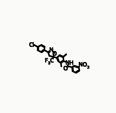 Cc1cc(C2(C(F)(F)F)CC(c3ccc(Cl)cc3)=NO2)cc(C)c1NC(=O)c1cccc([N+](=O)[O-])c1